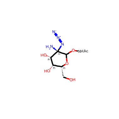 CC(=O)NOC1O[C@H](CO)[C@H](O)[C@H](O)[C@]1(N)N=[N+]=[N-]